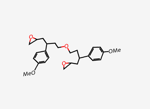 COc1ccc(C(CCOCCC(CC2CO2)c2ccc(OC)cc2)CC2CO2)cc1